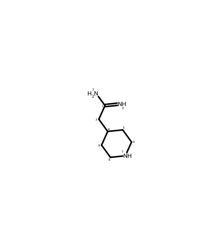 N=C(N)CC1CCNCC1